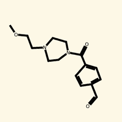 COCCN1CCN(C(=O)c2ccc(C=O)cc2)CC1